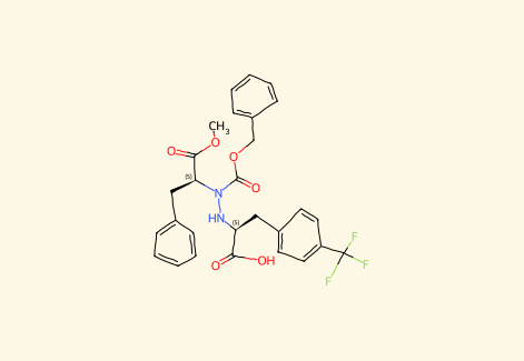 COC(=O)[C@H](Cc1ccccc1)N(N[C@@H](Cc1ccc(C(F)(F)F)cc1)C(=O)O)C(=O)OCc1ccccc1